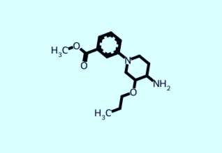 CCCOC1CN(c2cccc(C(=O)OC)c2)CCC1N